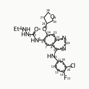 CCNNC(=O)Nc1cc2c(Nc3ccc(F)c(Cl)c3)ncnc2cc1OC1CCOC1